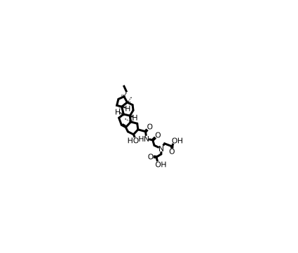 CC[C@H]1CC[C@H]2[C@@H]3CC=C4CC(O)C(C(=O)NC(=O)CN(CC(=O)O)CC(=O)O)C[C@]4(C)[C@H]3CC[C@]12C